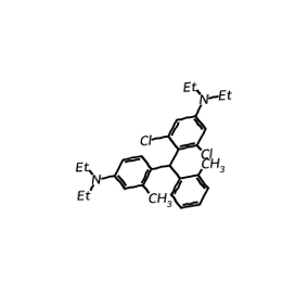 CCN(CC)c1ccc(C(c2ccccc2C)c2c(Cl)cc(N(CC)CC)cc2Cl)c(C)c1